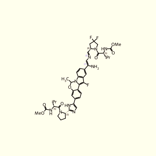 COC(=O)N[C@H](C(=O)N1CC(F)(F)C[C@@H]1/C=N/C=C(\N)c1ccc2c(c1)c(F)c1n2C(C)Oc2cc(-c3cnc([C@@H]4CCCN4C(=O)[C@@H](NC(=O)OC)C(C)C)[nH]3)ccc2-1)C(C)C